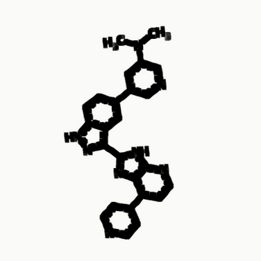 CN(C)c1cncc(-c2ccc3[nH]nc(-c4nc5c(-c6ccncc6)ccnc5[nH]4)c3c2)c1